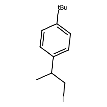 CC(CI)c1ccc(C(C)(C)C)cc1